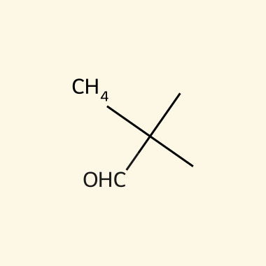 C.CC(C)(C)C=O